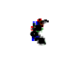 CCCS(=O)(=O)Nc1cc(F)c(F)c(C(=O)c2ccc3ncc(-c4ccc(F)cc4)nc3c2)c1F